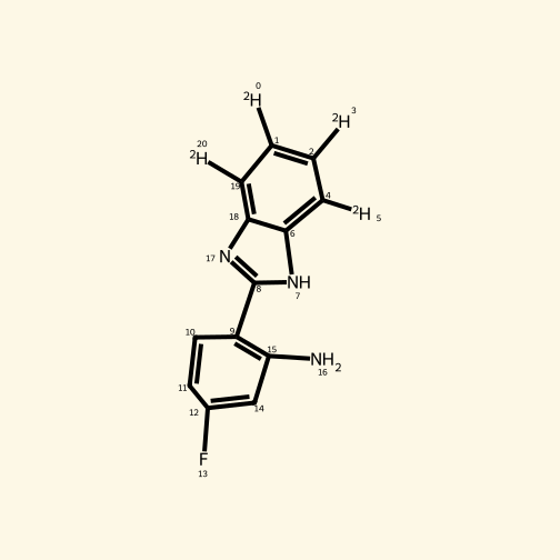 [2H]c1c([2H])c([2H])c2[nH]c(-c3ccc(F)cc3N)nc2c1[2H]